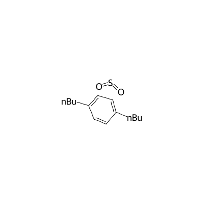 CCCCc1ccc(CCCC)cc1.O=S=O